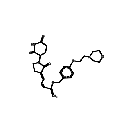 C=C(/C=C\C=C1/CCN(C2CCC(=O)NC2=O)C1=O)OCc1ccc(OCCN2CCOCC2)cc1